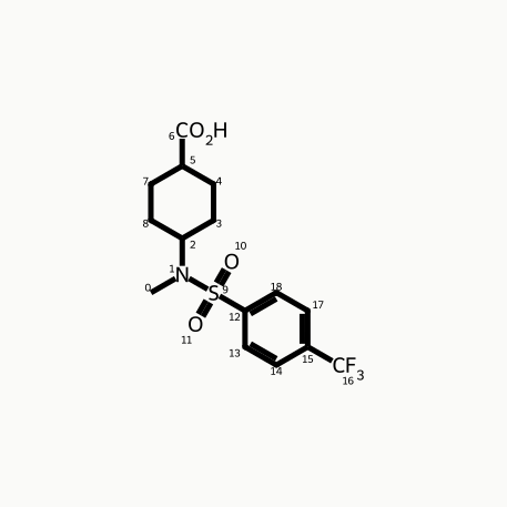 CN(C1CCC(C(=O)O)CC1)S(=O)(=O)c1ccc(C(F)(F)F)cc1